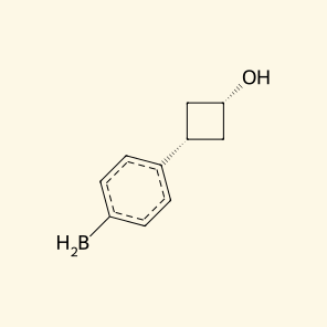 Bc1ccc([C@H]2C[C@@H](O)C2)cc1